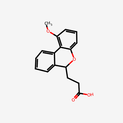 COc1cccc2c1-c1ccccc1C(CCC(=O)O)O2